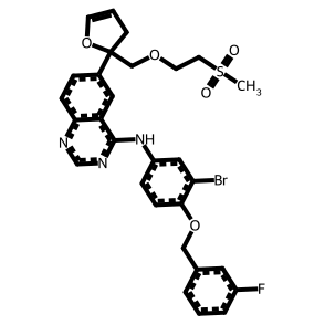 CS(=O)(=O)CCOCC1(c2ccc3ncnc(Nc4ccc(OCc5cccc(F)c5)c(Br)c4)c3c2)CC=CO1